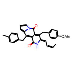 C/C=C\C=c1/[nH]c(=O)c2c(Cc3ccc(C)cc3)c3cccn3c(=O)c2c1Cc1ccc(OC)cc1